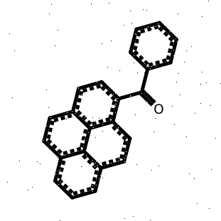 O=C(c1ccccc1)c1ccc2ccc3cccc4ccc1c2c34